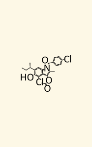 CC[C@@H](C)c1cc2c(c(Cl)c1O)c(OC(C)=O)c(C)n2C(=O)c1ccc(Cl)cc1